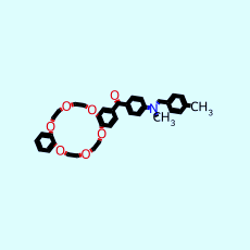 Cc1ccc(CN(C)c2ccc(C(=O)c3ccc4c(c3)OCCOCCOc3ccccc3OCCOCCO4)cc2)cc1